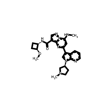 CNc1cc(-c2cn([C@H]3CCN(C)C3)c3ncccc23)nc2c(C(=O)N[C@H]3CC[C@@H]3OC)cnn12